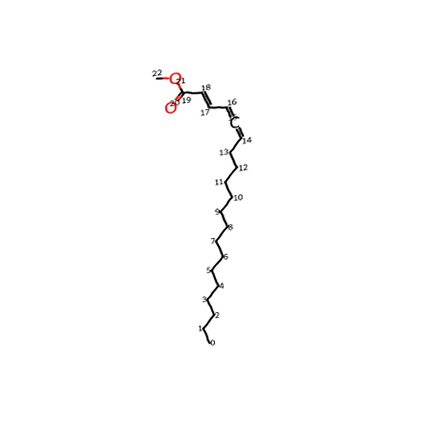 CCCCCCCCCCCCCCC=C=CC=CC(=O)OC